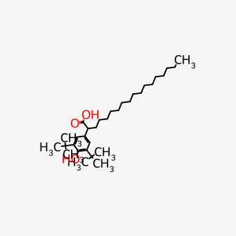 CCCCCCCCCCCCCCCCC(C(=O)O)c1cc(C(C)(C)C)c(O)c(C(C)(C)C)c1